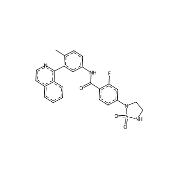 Cc1ccc(NC(=O)c2ccc(N3CCNS3(=O)=O)cc2F)cc1-c1nccc2ccccc12